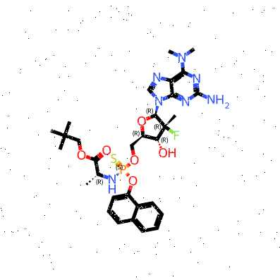 C[C@@H](N[P@](=S)(OC[C@H]1O[C@@H](n2cnc3c(N(C)C)nc(N)nc32)[C@](C)(F)[C@@H]1O)Oc1cccc2ccccc12)C(=O)OCC(C)(C)C